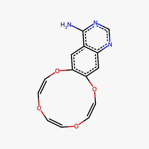 Nc1ncnc2cc3c(cc12)OC=COC=COC=CO3